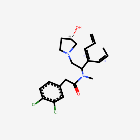 C=C/C=C(\C=C/C)C(CN1CC[C@H](O)C1)N(C)C(=O)Cc1ccc(Cl)c(Cl)c1